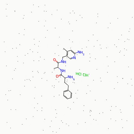 Cc1cc(N)ncc1CNC(=O)C(C)NC(=O)C(N)CCc1ccccc1.Cl.Cl